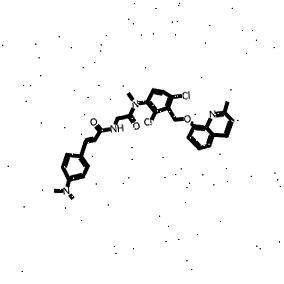 Cc1ccc2cccc(OCc3c(Cl)ccc(N(C)C(=O)CNC(=O)C=Cc4ccc(N(C)C)cc4)c3Cl)c2n1